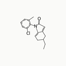 CCC1CC=C2C(=CC(=O)N2c2c(C)cccc2Cl)C1